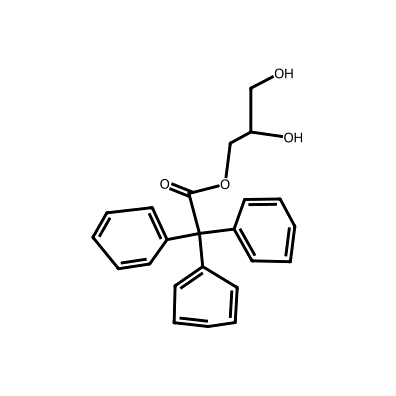 O=C(OCC(O)CO)C(c1ccccc1)(c1ccccc1)c1ccccc1